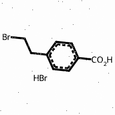 Br.O=C(O)c1ccc(CCBr)cc1